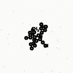 COc1cccc(N(c2cc3oc4c(N5Cc6cccc(-c7ccccc7)c6-c6ccccc65)ccc5c6cc(-c7ccc(-c8cccnc8)cc7)cc7oc8c(-c9ccc(-c%10ccccc%10-c%10cccc%11c%12ccccc%12n(-c%12ccccc%12)c%10%11)cc9)ccc(c(c2)c3c45)c8c76)c2c3ccccc3cc3c(-c4ccccc4)cccc23)c1